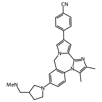 CNCC1CCN(c2ccc3c(c2)Cn2cc(-c4ccc(C#N)cc4)cc2-c2nc(C)c(C)n2-3)C1